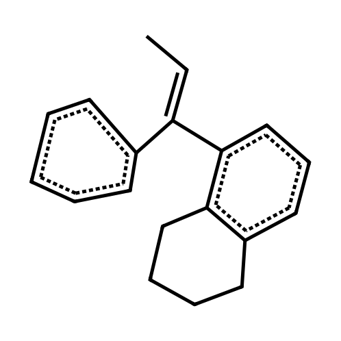 CC=C(c1ccccc1)c1cccc2c1CCCC2